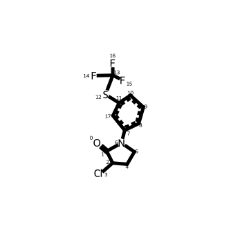 O=C1C(Cl)CCN1c1cccc(SC(F)(F)F)c1